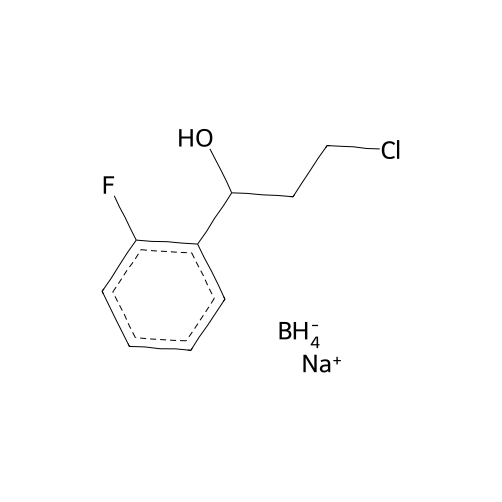 OC(CCCl)c1ccccc1F.[BH4-].[Na+]